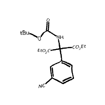 CCOC(=O)C(NC(=O)OC(C)(C)C)(C(=O)OCC)c1cccc(C#N)c1